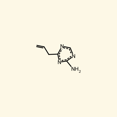 C=CCc1ncnc(N)n1